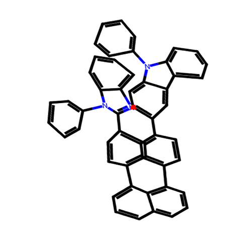 c1ccc(-n2c(-c3ccc(-c4cccc5cccc(-c6ccc(-c7ccc8c(c7)c7ccccc7n8-c7ccccc7)cc6)c45)cc3)nc3ccccc32)cc1